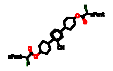 CCCCC[C@H](F)C(=O)OC1CCC(c2ccc(C3CCC(OC(=O)[C@@H](F)CCCCC)CC3)c(C#N)c2)CC1